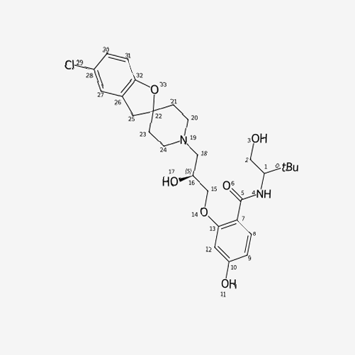 CC(C)(C)C(CO)NC(=O)c1ccc(O)cc1OC[C@@H](O)CN1CCC2(CC1)Cc1cc(Cl)ccc1O2